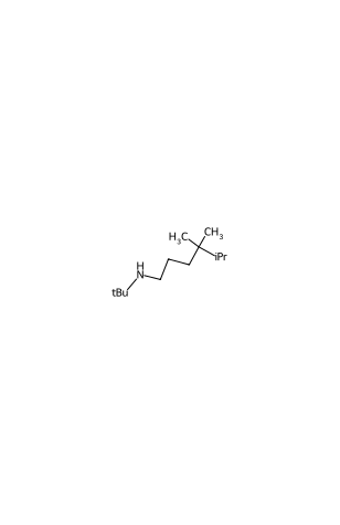 CC(C)C(C)(C)CCCNC(C)(C)C